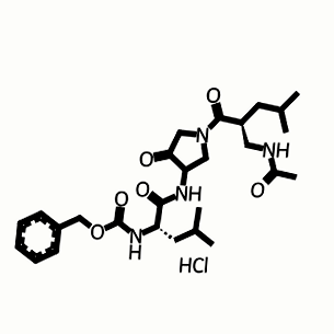 CC(=O)NC[C@H](CC(C)C)C(=O)N1CC(=O)C(NC(=O)[C@H](CC(C)C)NC(=O)OCc2ccccc2)C1.Cl